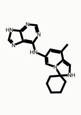 CC1=CC(Nc2ncnc3[nH]cnc23)=CN2C1=CNC21CCCCC1